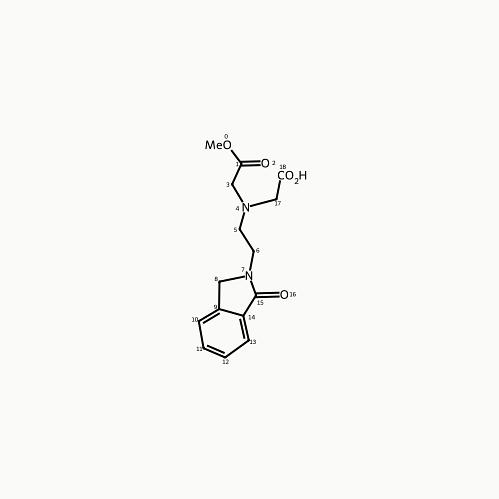 COC(=O)CN(CCN1Cc2ccccc2C1=O)CC(=O)O